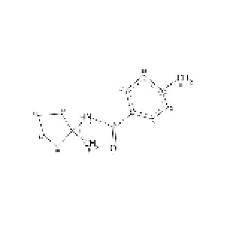 [CH2]c1ccc(C(=O)NC2(C)CCCC2)cc1